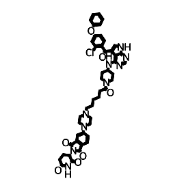 O=C1CCC(N2C(=O)c3ccc(N4CCN(CCCCCC(=O)N5CCC(Nc6ncnc7[nH]cc(C(=O)c8ccc(Oc9ccccc9)cc8Cl)c67)CC5)CC4)cc3C2=O)C(=O)N1